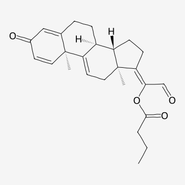 CCCC(=O)OC(C=O)=C1CC[C@H]2[C@@H]3CCC4=CC(=O)C=C[C@]4(C)C3=CC[C@]12C